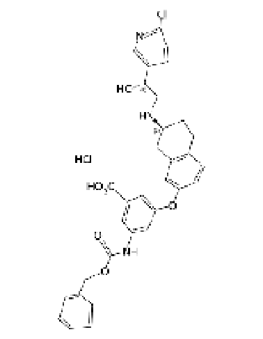 Cl.O=C(Nc1cc(Oc2ccc3c(c2)C[C@@H](NC[C@H](O)c2ccc(Cl)nc2)CC3)cc(C(=O)O)c1)OCc1ccccc1